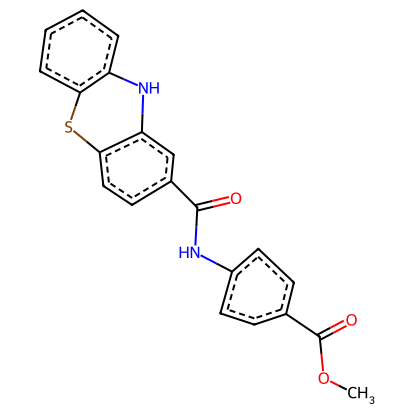 COC(=O)c1ccc(NC(=O)c2ccc3c(c2)Nc2ccccc2S3)cc1